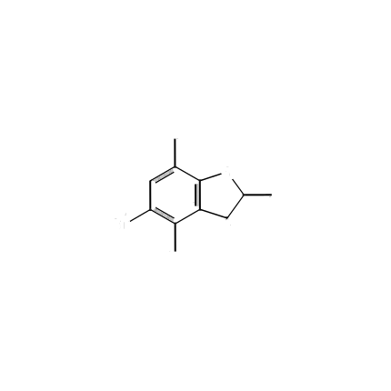 Cc1cc(Br)c(C)c2c1SC(C)C2